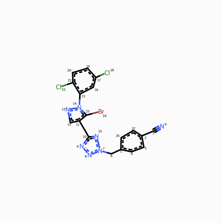 N#Cc1ccc(Cn2nnc(-c3cnn(-c4cc(Cl)ccc4Cl)c3Br)n2)cc1